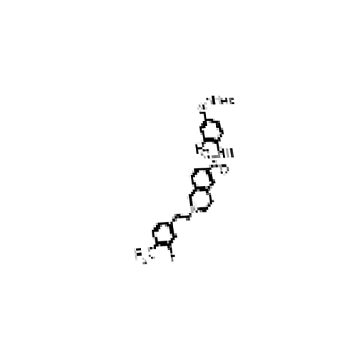 CCCCCCOc1ccc(NS(=O)(=O)c2ccc3c(c2)CCN(CCc2ccc(C(F)(F)F)c(F)c2)C3)c(F)c1